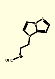 O=CNCCn1ccn2nccc12